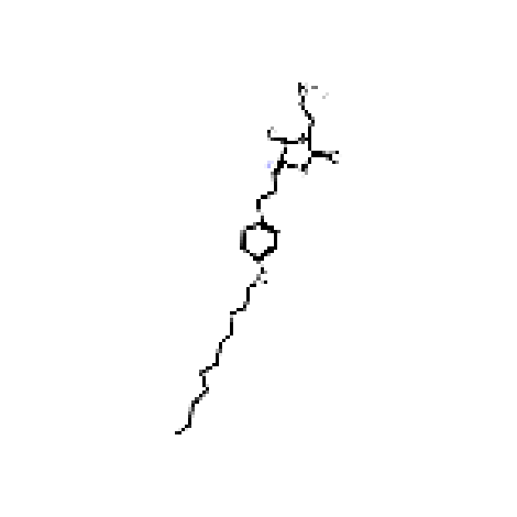 CCCCCCCCCCCOc1ccc(CC/C=C2\SC(=O)N(CCN)C2=O)cc1